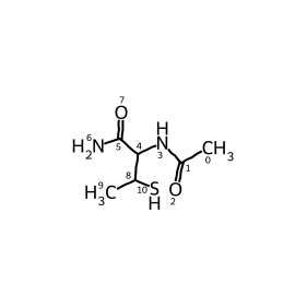 CC(=O)NC(C(N)=O)C(C)S